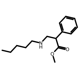 CCCCCNCC(C(=O)OC)c1ccccc1